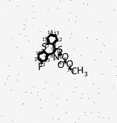 CCOC(=O)Oc1nc2c(s1)-c1ccccc1Sc1ccc(F)cc1-2